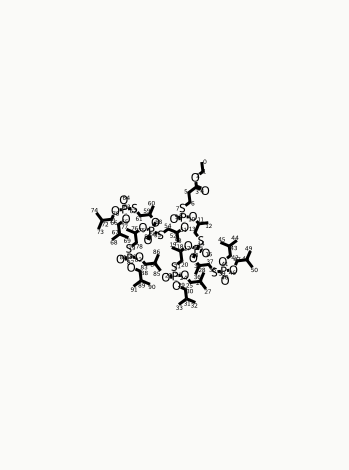 CCOC(=O)CCSP(=O)(OC(C)CSP(=O)(OC(C)CSP(=O)(OCC(C)C)OCC(C)C)OC(C)CSP(=O)(OCC(C)C)OCC(C)C)OC(C)CSP(=O)(OC(C)CSP(=O)(OCC(C)C)OCC(C)C)OC(C)CSP(=O)(OCC(C)C)OCC(C)C